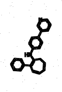 C1=CCC(Nc2ccc(-c3cccnc3)cc2)=C(c2ccccc2)C=C1